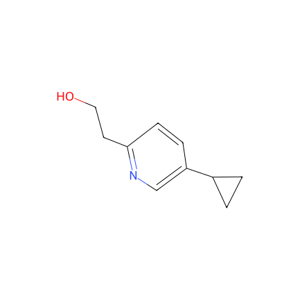 OCCc1ccc(C2CC2)cn1